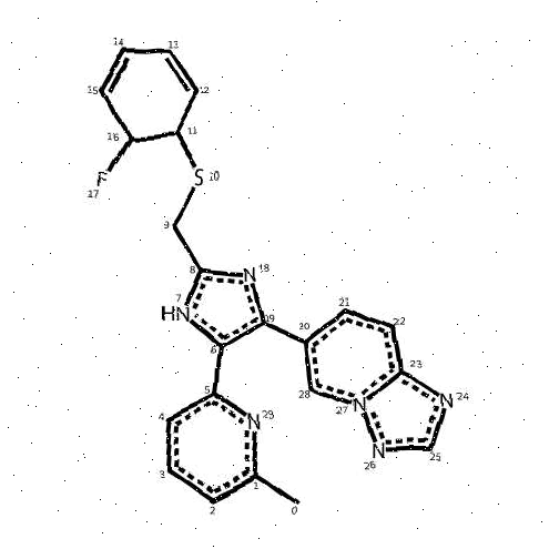 Cc1cccc(-c2[nH]c(CSC3C=CC=CC3F)nc2-c2ccc3ncnn3c2)n1